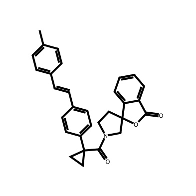 Cc1ccc(/C=C/c2ccc(C3(C(=O)N4CCC5(C4)OC(=O)c4ccccc45)CC3)cc2)cc1